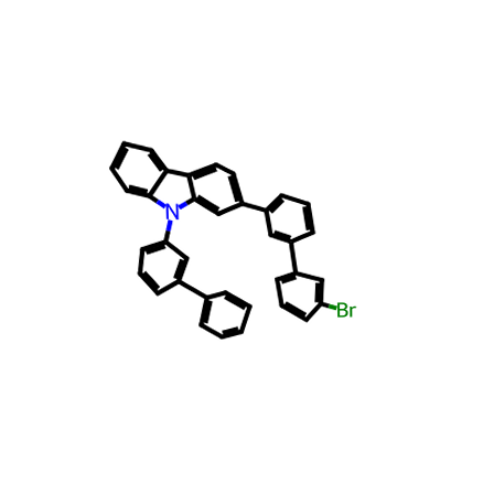 Brc1cccc(-c2cccc(-c3ccc4c5ccccc5n(-c5cccc(-c6ccccc6)c5)c4c3)c2)c1